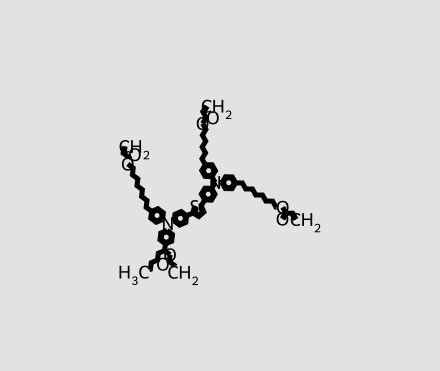 C=CC(=O)OCCCCCCCCc1ccc(N(c2ccc(CCCCCCOC(=O)C=C)cc2)c2ccc(-c3ccc(-c4ccc(N(c5ccc(CCCCCCCCOC(=O)C=C)cc5)c5ccc(C(CCCCC)OC(=O)C=C)cc5)cc4)s3)cc2)cc1